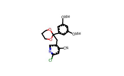 COc1cc(OC)cc(C2(Cc3cnc(Cl)cc3C#N)OCCCO2)c1